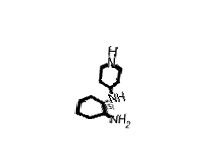 NC1CCCC[C@@H]1NC1CCNCC1